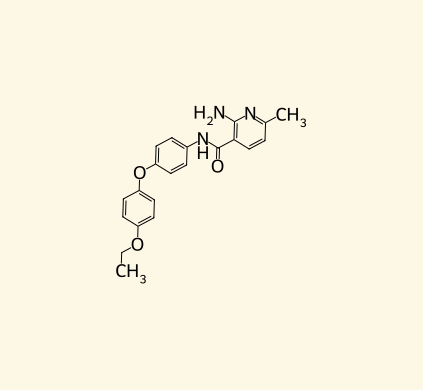 CCOc1ccc(Oc2ccc(NC(=O)c3ccc(C)nc3N)cc2)cc1